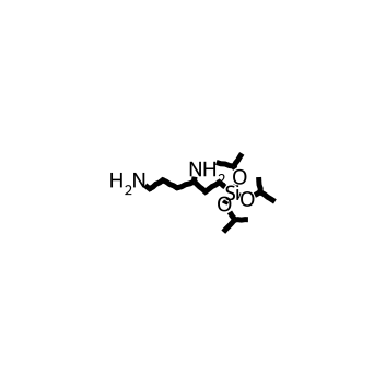 CC(C)O[Si](CCC(N)CCCN)(OC(C)C)OC(C)C